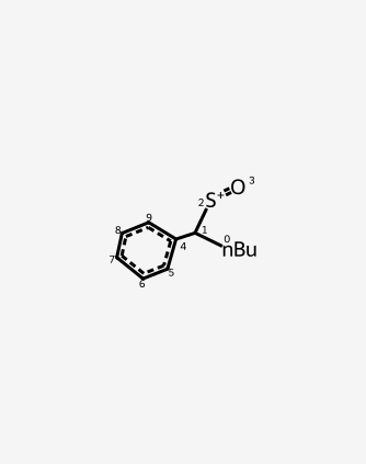 CCCCC([S+]=O)c1ccccc1